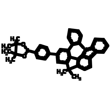 CC1(C)c2cc(-c3ccc(B4OC(C)(C)C(C)(C)O4)cc3)cc3c2-c2c1ccc1c4ccccc4n(c21)-c1ccccc1-3